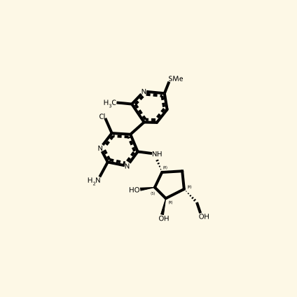 CSc1ccc(-c2c(Cl)nc(N)nc2N[C@@H]2C[C@H](CO)[C@@H](O)[C@H]2O)c(C)n1